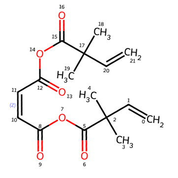 C=CC(C)(C)C(=O)OC(=O)/C=C\C(=O)OC(=O)C(C)(C)C=C